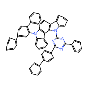 c1ccc(-c2ccc(-c3nc(-c4ccccc4)nc(-n4c5ccccc5c5ccc6c(c7ccccc7n6-c6cc(-c7ccccc7)ccc6-c6ccccc6)c54)n3)cc2)cc1